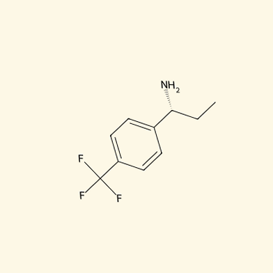 CC[C@@H](N)c1ccc(C(F)(F)F)cc1